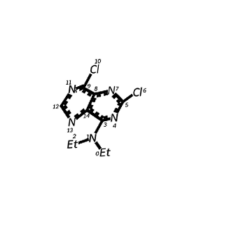 CCN(CC)c1nc(Cl)nc2c(Cl)ncnc12